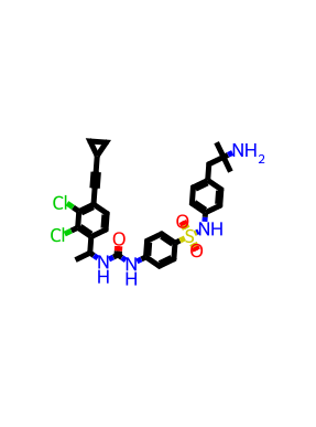 CC(NC(=O)Nc1ccc(S(=O)(=O)Nc2ccc(CC(C)(C)N)cc2)cc1)c1ccc(C#CC2CC2)c(Cl)c1Cl